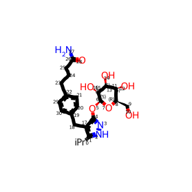 CC(C)c1[nH]nc(O[C@@H]2O[C@H](CO)[C@@H](O)[C@H](O)[C@H]2O)c1Cc1ccc(CCCC(N)=O)cc1